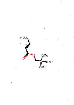 CO[Si](COC(=O)/C=C/C(=O)O)(OC)OC